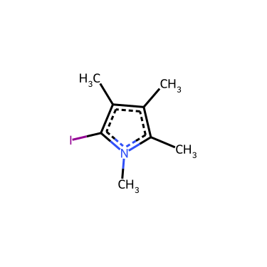 Cc1c(C)c(I)n(C)c1C